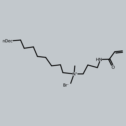 C=CC(=O)NCCC[N+](C)(C)CCCCCCCCCCCCCCCCCC.[Br-]